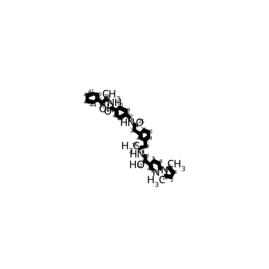 Cc1ccc(C)n1-c1ccc([C@H](O)CNC(C)Cc2cccc(CC(=O)NCc3ccc(C(=O)N[C@@H](C)[C@@H](O)c4ccccc4)cc3)c2)cn1